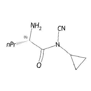 CCC[C@H](N)C(=O)N(C#N)C1CC1